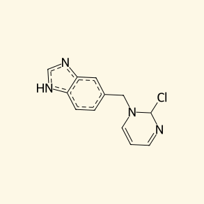 ClC1N=CC=CN1Cc1ccc2[nH]cnc2c1